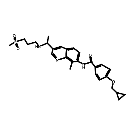 Cc1c(NC(=O)c2ccc(OCC3CC3)cc2)ccc2cc(C(C)NCCCS(C)(=O)=O)cnc12